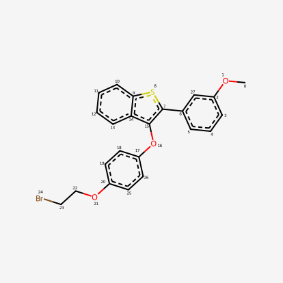 COc1cccc(-c2sc3ccccc3c2Oc2ccc(OCCBr)cc2)c1